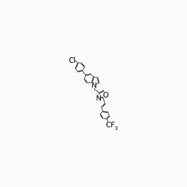 FC(F)(F)c1ccc(C=Cc2nc(Cn3ccc4cc(-c5ccc(Cl)cc5)ccc43)co2)cc1